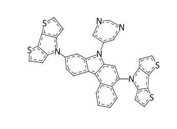 c1ccc2c(c1)c(-n1c3ccsc3c3sccc31)cc1c2c2ccc(-n3c4ccsc4c4sccc43)cc2n1-c1cncnc1